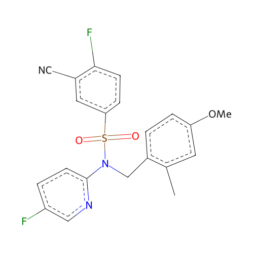 COc1ccc(CN(c2ccc(F)cn2)S(=O)(=O)c2ccc(F)c(C#N)c2)c(C)c1